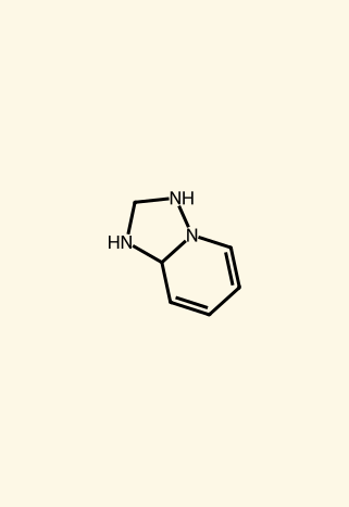 C1=CC2NCNN2C=C1